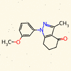 COc1cccc(-n2nc(C)c3c2CCCC3=O)c1